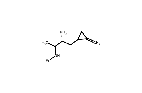 C=C1CC1C[C@@H](N)C(C)NCC